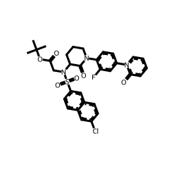 CC(C)(C)OC(=O)CN(C1CCCN(c2ccc(-n3ccccc3=O)cc2F)C1=O)S(=O)(=O)c1ccc2cc(Cl)ccc2c1